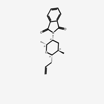 C=CC[C@@H]1O[C@H](C)[C@H](N2C(=O)c3ccccc3C2=O)C[C@H]1C